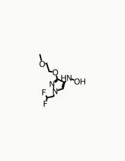 COCCOc1nn(CC(F)F)cc1NO